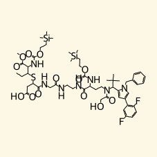 CCC(SC(CC(=O)O)C(=O)NCC(=O)NCCNC(=O)C(CCN(C(=O)CO)C(c1cc(-c2cc(F)ccc2F)cn1Cc1ccccc1)C(C)(C)C)NC(=O)OCC[Si](C)(C)C)C(NC(=O)OCC[Si](C)(C)C)C(=O)OC